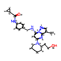 Bc1cnn2c(NCc3ccc(NC(=O)C4CC4)cc3)cc(N3CCCCC3CCO)nc12